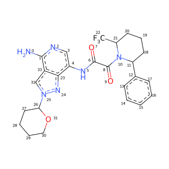 Nc1ncc(NC(=O)C(=O)N2C(c3ccccc3)CCCC2C(F)(F)F)c2nn(C3CCCCO3)cc12